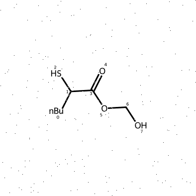 CCCCC(S)C(=O)OCO